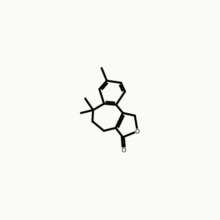 Cc1ccc2c(c1)C(C)(C)CCC1=C2COC1=O